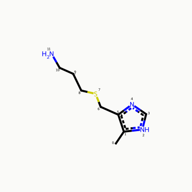 Cc1[nH]cnc1CSC[CH]CN